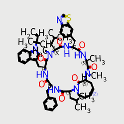 C=CC(C)(C)n1cc(C[C@@H]2NC(=O)[C@H](Cc3ccccc3)NC(=O)[C@H](CC(C)C)N3CC/C=C\C[C@@H](C3=O)N(C)C(=O)[C@H](C)NC(=O)[C@H](Cc3ccc4ncsc4c3)NC(=O)[C@H](CC(C)C)N(C)C2=O)c2ccccc21